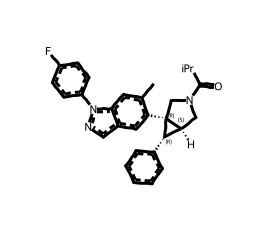 Cc1cc2c(cnn2-c2ccc(F)cc2)cc1[C@]12CN(C(=O)C(C)C)C[C@H]1[C@@H]2c1ccccc1